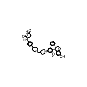 COc1cc(N2CCC(CN3CCC(c4ccc(N[C@@H]5CCC(=O)NC5=O)cc4)CC3)CC2)ccc1[C@H]1c2ccc(O)cc2OC[C@H]1c1ccccc1